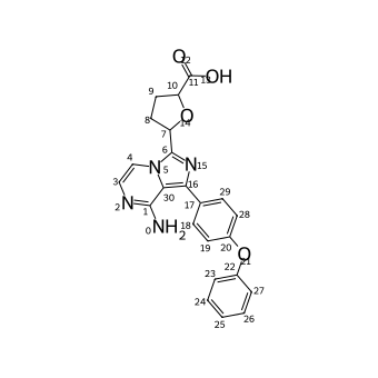 Nc1nccn2c(C3CCC(C(=O)O)O3)nc(-c3ccc(Oc4ccccc4)cc3)c12